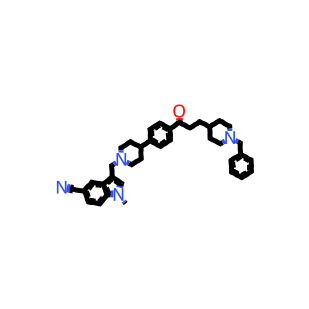 Cn1cc(CN2CCC(c3ccc(C(=O)CCC4CCN(Cc5ccccc5)CC4)cc3)CC2)c2cc(C#N)ccc21